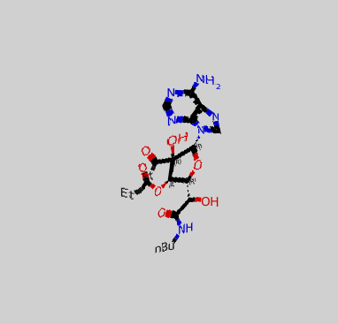 CCCCNC(=O)C(O)[C@H]1O[C@@H](n2cnc3c(N)ncnc32)[C@@](O)(C(=O)CC)[C@@H]1OC(=O)CC